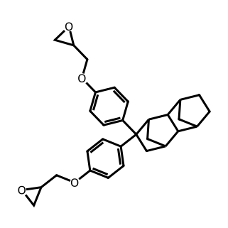 c1cc(C2(c3ccc(OCC4CO4)cc3)CC3CC2C2C4CCC(C4)C32)ccc1OCC1CO1